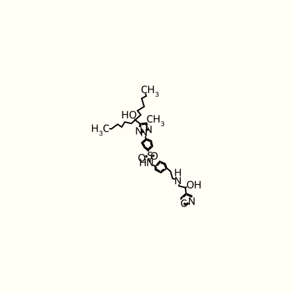 CCCCCCC(O)(CCCCCC)c1nn(-c2ccc(S(=O)(=O)Nc3ccc(CCNCC(O)c4cccnc4)cc3)cc2)nc1C